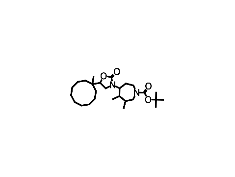 CC1CN(C(=O)OC(C)(C)C)CCC(N2CC(C3(C)CCCCCCCCC3)OC2=O)C1C